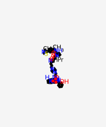 Cc1ncsc1-c1ccc([C@H](C)NC(=O)[C@@H]2CCCN2C(=O)[C@@H](c2cc(CCCN3CCN(CCOc4cc(N5C6CCC5CN(c5cc(-c7ccccc7O)nnc5N)C6)ccn4)CC3)no2)C(C)C)cc1